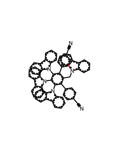 N#Cc1ccc(-c2c(Cn3c4ccccc4c4ccccc43)c(-c3ccc(C#N)cc3)c(-n3c4ccccc4c4ccccc43)c(-n3c4ccccc4c4ccccc43)c2-n2c3ccccc3c3ccccc32)cc1